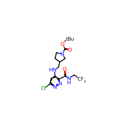 CC(C)(C)OC(=O)N1CCC(CNc2cc(Cl)nnc2C(=O)NCC(F)(F)F)C1